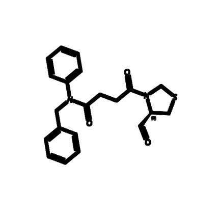 O=C[C@@H]1CSCN1C(=O)CCC(=O)N(Cc1ccccc1)c1ccccc1